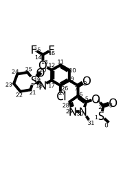 CSC(=O)Oc1c(C(=O)c2ccc(OC(F)F)c(N=S3(=O)CCCCC3)c2Cl)cnn1C